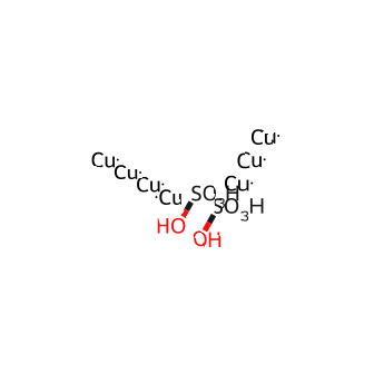 O=S(=O)(O)O.O=S(=O)(O)O.[Cu].[Cu].[Cu].[Cu].[Cu].[Cu].[Cu]